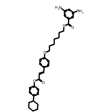 Nc1cc(N)cc(C(=O)OCCCCCCCOc2ccc(C=CC(=O)Oc3ccc(C4CCCCC4)cc3)cc2)c1